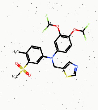 Cc1ccc(N(Cc2cncs2)c2ccc(OC(F)F)c(OC(F)F)c2)cc1S(C)(=O)=O